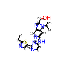 CCc1ncc(-c2nccc(Nc3cc4c(cn3)nc(CO)n4C(C)C)n2)s1